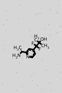 C[C@@H](N)c1cc(C(F)(F)C(C)(C)O)ccn1